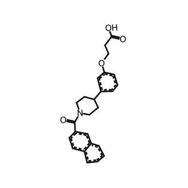 O=C(O)CCOc1cccc(C2CCN(C(=O)c3ccc4ccccc4c3)CC2)c1